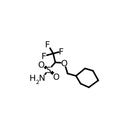 NS(=O)(=O)C(OCC1CCCCC1)C(F)(F)F